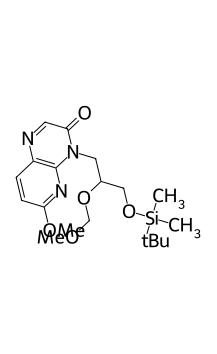 COCOC(CO[Si](C)(C)C(C)(C)C)Cn1c(=O)cnc2ccc(OC)nc21